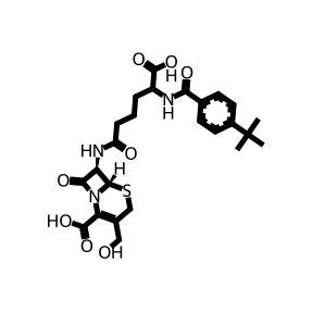 CC(C)(C)c1ccc(C(=O)NC(CCCC(=O)N[C@@H]2C(=O)N3C(C(=O)O)=C(CO)CS[C@@H]23)C(=O)O)cc1